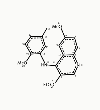 CCOC(=O)c1cnc2ccc(OC)cc2c1Nc1cc(C)ccc1OC